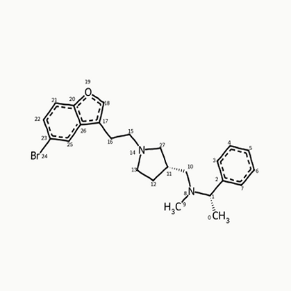 C[C@@H](c1ccccc1)N(C)C[C@@H]1CCN(CCc2coc3ccc(Br)cc23)C1